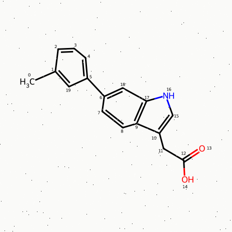 Cc1cccc(-c2ccc3c(CC(=O)O)c[nH]c3c2)c1